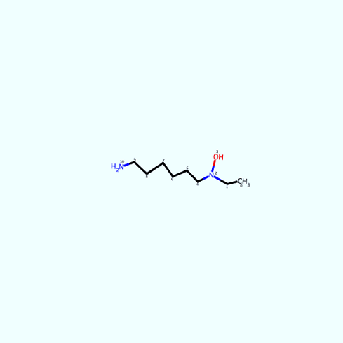 CCN(O)CCCCCCN